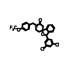 O=C1CC2(CCN1Cc1ccc(OC(F)(F)F)cc1)OC(c1cc(Cl)cc(Cl)c1)c1ccccc12